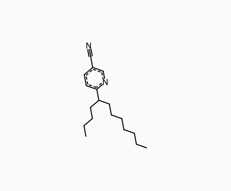 CCCCCCCC(CCCC)c1ccc(C#N)cn1